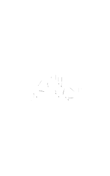 Nc1ccc(Cl)c(-c2nc3ncc(Br)cc3[nH]2)c1